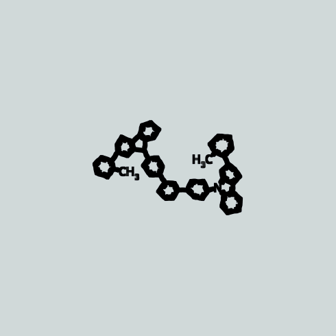 Cc1ccccc1-c1ccc2c(c1)C(c1ccc(-c3cccc(-c4ccc(-n5c6ccccc6c6ccc(-c7ccccc7C)cc65)cc4)c3)cc1)c1ccccc1-2